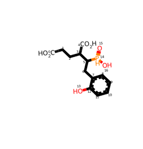 O=C(O)CCC(C(=O)O)C(Cc1ccccc1O)[PH](=O)O